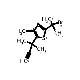 C#CC(C)(C)c1sc(C(C)(C)Br)cc1C